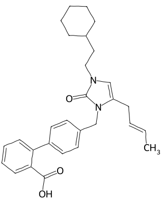 CC=CCc1cn(CCC2CCCCC2)c(=O)n1Cc1ccc(-c2ccccc2C(=O)O)cc1